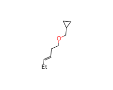 CC/C=C/CCOCC1CC1